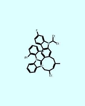 CCC1/C=C(/C)Cc2cc3c(cc2-c2n(-c4c(C(C)C)cccc4C(C)C)c4ccccc4[n+]2C1)c1ccc(F)cc1n3C(CC)CC